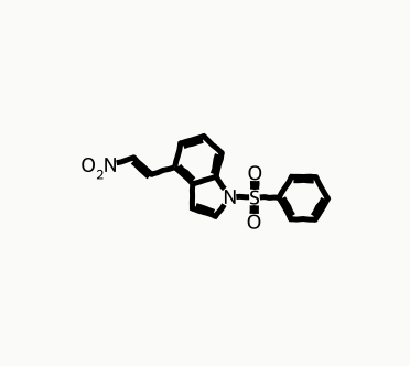 O=[N+]([O-])C=Cc1cccc2c1ccn2S(=O)(=O)c1ccccc1